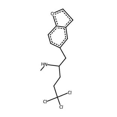 CNC(CCC(Cl)(Cl)Cl)Cc1ccc2occc2c1